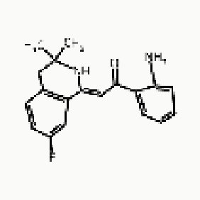 CC1(C)Cc2ccc(F)cc2C(=CC(=O)c2ccccc2N)N1